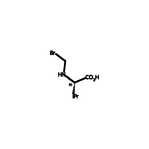 CC(C)[C@H](NCBr)C(=O)O